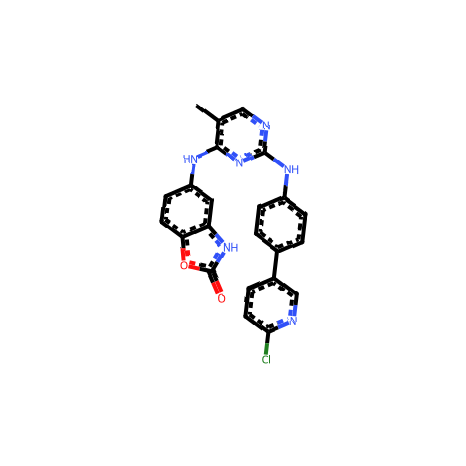 Cc1cnc(Nc2ccc(-c3ccc(Cl)nc3)cc2)nc1Nc1ccc2oc(=O)[nH]c2c1